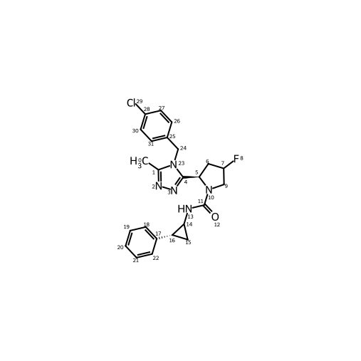 Cc1nnc([C@H]2CC(F)CN2C(=O)NC2C[C@@H]2c2ccccc2)n1Cc1ccc(Cl)cc1